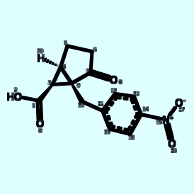 O=C(O)[C@H]1[C@H]2CCC(=O)[C@@]21Cc1ccc([N+](=O)[O-])cc1